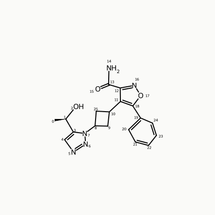 C[C@@H](O)c1cnnn1C1CC(c2c(C(N)=O)noc2-c2ccccc2)C1